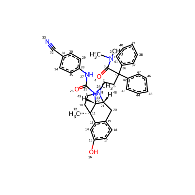 CN(C)C(=O)C(CCN1CC[C@]2(C)c3cc(O)ccc3C[C@@H]1[C@H]2N(C)C(=O)Nc1ccc(C#N)cc1)(c1ccccc1)c1ccccc1